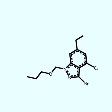 CCCOCn1nc(Br)c2c(Cl)cc(CC)cc21